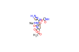 CC(=O)OCC1=C(C(=O)[O-])N2C(=O)[C@@H](NC(=O)/C(=N\O[C@H]3CCNC3=O)c3csc(N)n3)[C@@H]2SC1.[Na+]